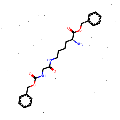 N[C@@H](CCCCNC(=O)CNC(=O)OCc1ccccc1)C(=O)OCc1ccccc1